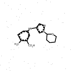 Cc1ccc(Nc2cnn(C3CCCCO3)c2)cc1C(=O)O